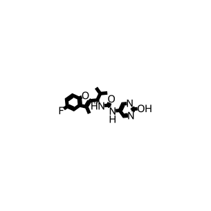 Cc1c([C@@H](NC(=O)Nc2cnc(O)nc2)C(C)C)oc2ccc(F)cc12